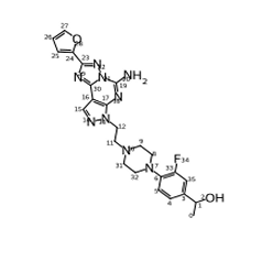 CC(O)c1ccc(N2CCN(CCn3ncc4c3nc(N)n3nc(-c5ccco5)nc43)CC2)c(F)c1